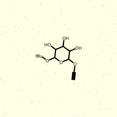 C#COC1OC(OC(C)(C)C)C(O)C(O)C1O